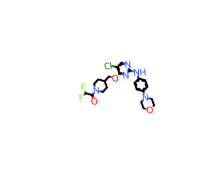 O=C(C(F)F)N1CCC(COc2nc(Nc3ccc(N4CCOCC4)cc3)ncc2Cl)CC1